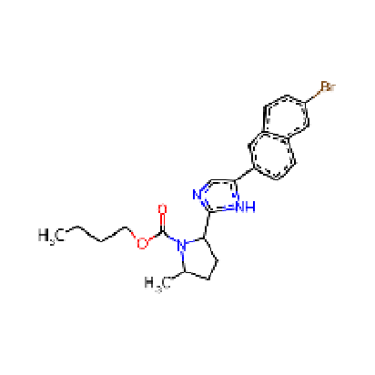 CCCCOC(=O)N1C(C)CCC1c1ncc(-c2ccc3cc(Br)ccc3c2)[nH]1